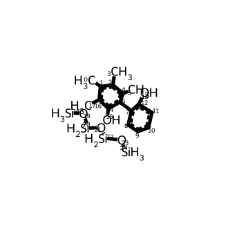 Cc1c(C)c(C)c(-c2ccccc2O)c(O)c1C.[SiH3]O[SiH2]O[SiH2]O[SiH3]